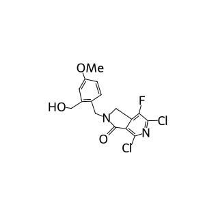 COc1ccc(CN2Cc3c(F)c(Cl)nc(Cl)c3C2=O)c(CO)c1